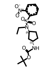 CCN([C@@H]1CC[C@H](NC(=O)OC(C)(C)C)C1)S(=O)(=O)c1ccccc1[N+](=O)[O-]